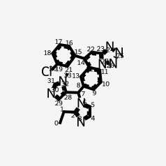 CCc1nccn1C(c1ccc2c(c1)c(-c1cccc(Cl)c1)cc1nnnn12)c1cncn1C